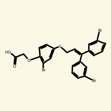 O=C(O)COc1ccc(SCC=C(c2cccc(Br)c2)c2cccc(Br)c2)cc1Br